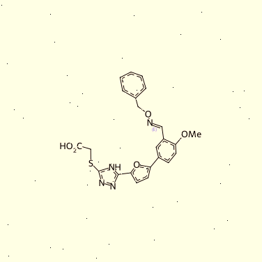 COc1ccc(-c2ccc(-c3nnc(SCC(=O)O)[nH]3)o2)cc1/C=N/OCc1ccccc1